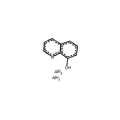 Oc1cccc2cccnc12.[AlH3].[AlH3]